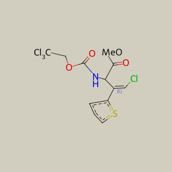 COC(=O)C(NC(=O)OCC(Cl)(Cl)Cl)/C(=C\Cl)c1cccs1